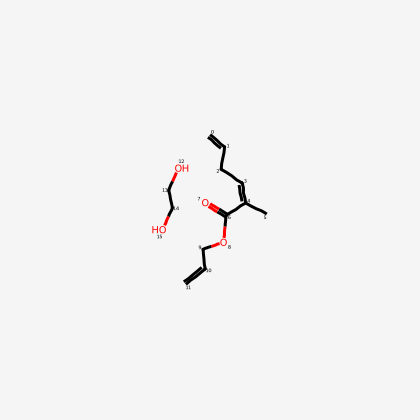 C=CCC=C(C)C(=O)OCC=C.OCCO